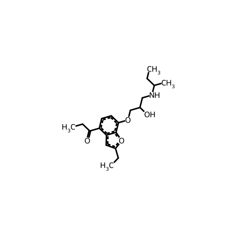 CCC(=O)c1ccc(OCC(O)CNC(C)CC)c2oc(CC)cc12